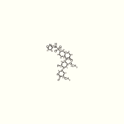 COc1cc(-c2cnc(F)c(C)c2)c(F)cc1-n1c(=O)ccc2cc(S(=O)(=O)Nc3ccon3)ccc21